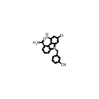 CCc1cc(O)c2c3c(C(N)=O)cccc3n(Cc3cccc(C#N)c3)c2c1